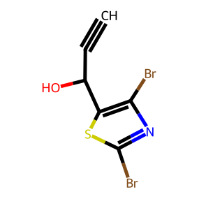 C#CC(O)c1sc(Br)nc1Br